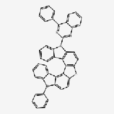 c1ccc(-c2nc(-n3c4ccccc4c4c5c(ccc43)sc3ccc4c(c6ccccc6n4-c4ccccc4)c35)nc3ccccc23)cc1